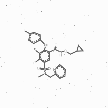 CN(Cc1ccccn1)S(=O)(=O)c1cc(C(=O)NOCC2CC2)c(Nc2ccc(I)cc2)c(F)c1F